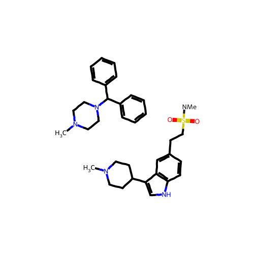 CN1CCN(C(c2ccccc2)c2ccccc2)CC1.CNS(=O)(=O)CCc1ccc2[nH]cc(C3CCN(C)CC3)c2c1